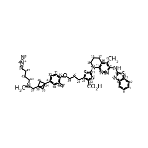 Cc1c(Nc2nc3ccccc3s2)nnc2c1CCCN2c1nc(C(=O)O)c(CCCOc2ccc(C34CC(CN(C)CCCN=[N+]=[N-])(C3)C4)cc2F)s1